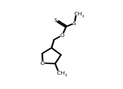 CSC(=S)OCC1COC(C)C1